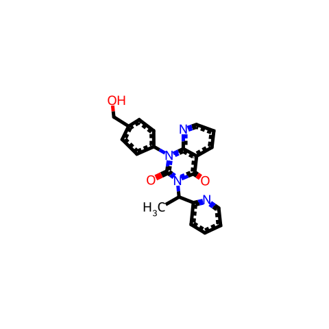 CC(c1ccccn1)n1c(=O)c2cccnc2n(-c2ccc(CO)cc2)c1=O